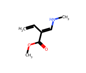 C=C/C(=C\NC)C(=O)OC